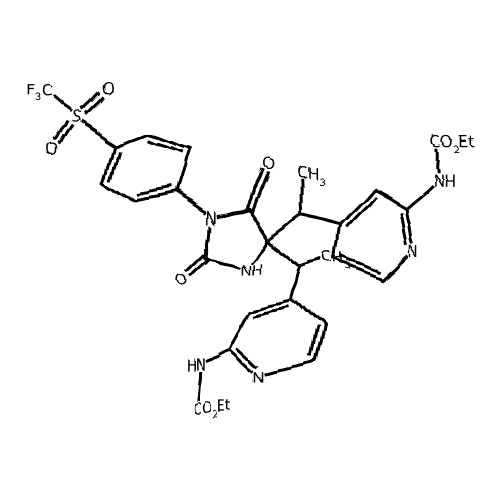 CCOC(=O)Nc1cc(C(C)C2(C(C)c3ccnc(NC(=O)OCC)c3)NC(=O)N(c3ccc(S(=O)(=O)C(F)(F)F)cc3)C2=O)ccn1